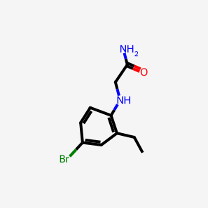 CCc1cc(Br)ccc1NCC(N)=O